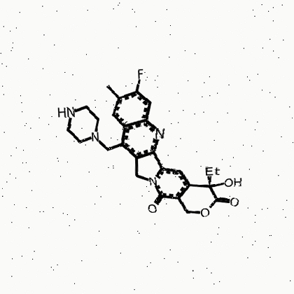 CC[C@@]1(O)C(=O)OCc2c1cc1n(c2=O)Cc2c-1nc1cc(F)c(C)cc1c2CN1CCNCC1